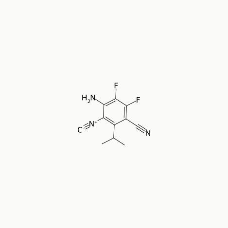 [C-]#[N+]c1c(N)c(F)c(F)c(C#N)c1C(C)C